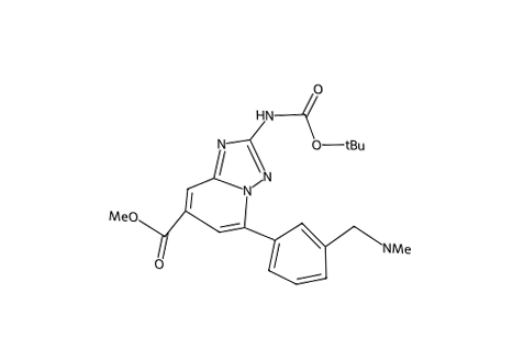 CNCc1cccc(-c2cc(C(=O)OC)cc3nc(NC(=O)OC(C)(C)C)nn23)c1